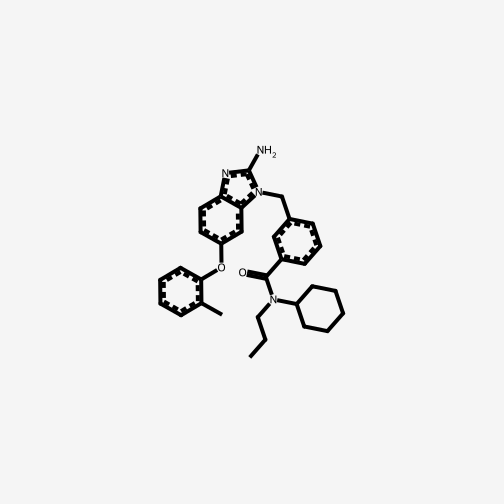 CCCN(C(=O)c1cccc(Cn2c(N)nc3ccc(Oc4ccccc4C)cc32)c1)C1CCCCC1